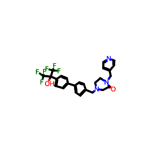 O=C1CN(Cc2ccc(-c3ccc(C(O)(C(F)(F)F)C(F)(F)F)cc3)cc2)CCN1Cc1ccncc1